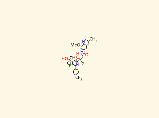 COc1cc(C(=O)NCC(O)(c2cc(C(C)(C)O)c(F)c(-c3ccc(C(F)(F)F)cc3)n2)C2CC2)cc2cc(C)cnc12